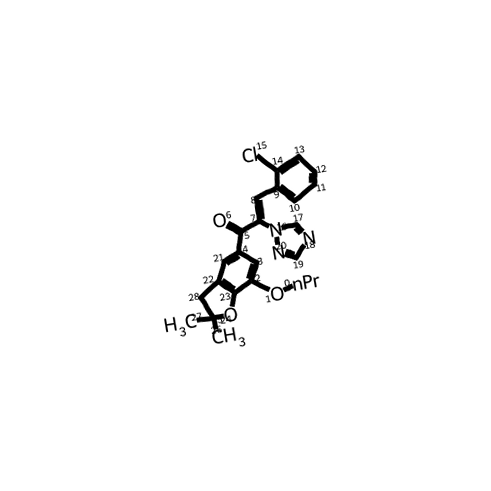 CCCOc1cc(C(=O)C(=Cc2ccccc2Cl)n2cncn2)cc2c1OC(C)(C)C2